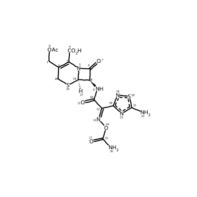 CC(=O)OCC1=C(C(=O)O)N2C(=O)[C@@H](NC(=O)/C(=N/OC(N)=O)c3nsc(N)n3)[C@H]2SC1